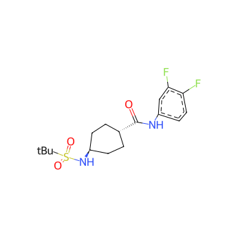 CC(C)(C)S(=O)(=O)N[C@H]1CC[C@H](C(=O)Nc2ccc(F)c(F)c2)CC1